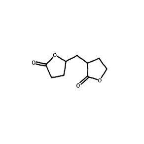 O=C1CCC(CC2CCOC2=O)O1